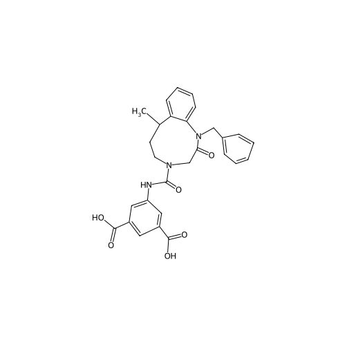 CC1CCN(C(=O)Nc2cc(C(=O)O)cc(C(=O)O)c2)CC(=O)N(Cc2ccccc2)c2ccccc21